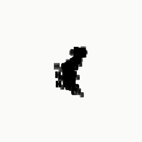 CC(=O)O[C@H]1CC[C@]2(C)[C@H]3CC=C4[C@@H]5C[C@@](C)(C(=O)N6CCN(c7ccccc7C(F)(F)F)CC6)CC[C@]5(C)CC[C@@]4(C)[C@]3(C)CC[C@H]2C1(C)C